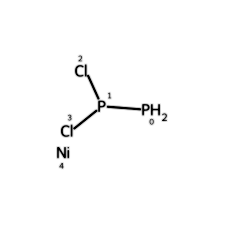 PP(Cl)Cl.[Ni]